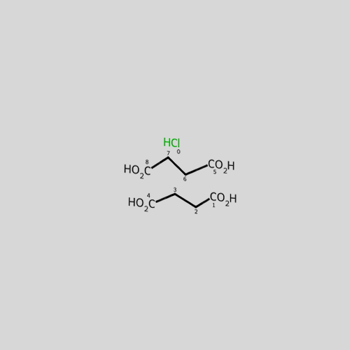 Cl.O=C(O)CCC(=O)O.O=C(O)CCC(=O)O